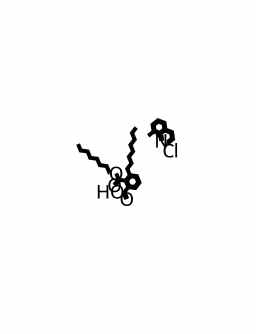 CCCCCCCCOC(=O)c1c(CCCCCCCC)cccc1C(=O)O.Cc1cccc2ccc(Cl)nc12